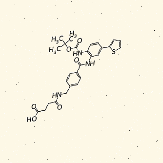 CC(C)(C)OC(=O)Nc1ccc(-c2cccs2)cc1NC(=O)c1ccc(CNC(=O)CCC(=O)O)cc1